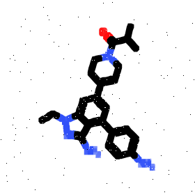 CCn1nc(N)c2c(-c3ccc(N)cc3)cc(C3=CCN(C(=O)C(C)C)CC3)cc21